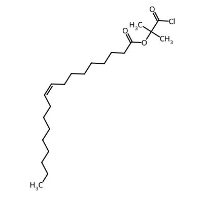 CCCCCCCC/C=C\CCCCCCCC(=O)OC(C)(C)C(=O)Cl